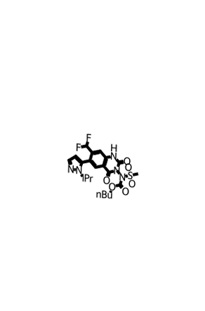 CCCCOC(=O)N(n1c(=O)[nH]c2cc(C(F)F)c(-c3ccnn3C(C)C)cc2c1=O)S(C)(=O)=O